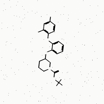 CC(C)(C)OC(=O)N1CCCC(Nc2ccccc2Sc2ccc(Cl)cc2Cl)C1